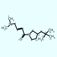 CN(C)C/C=C/C(=O)N1CCC(CC(C)(C)C)C1